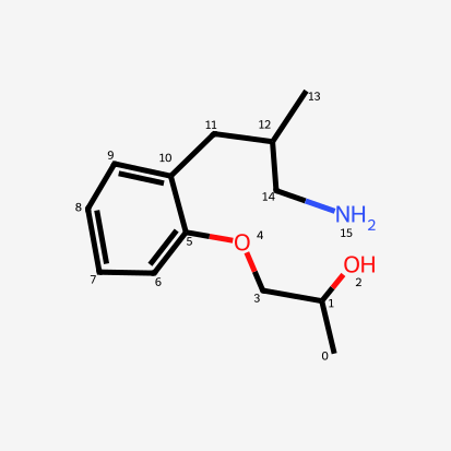 CC(O)COc1ccccc1CC(C)CN